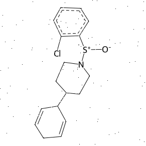 [O-][S+](c1ccccc1Cl)N1CCC(C2C=CCC=C2)CC1